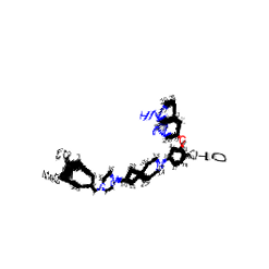 CCc1ccc(CN2CCN(C3CC4(CCN(c5ccc(C=O)c(Oc6cnc7[nH]ccc7c6)c5)CC4)C3)CC2)cc1OC